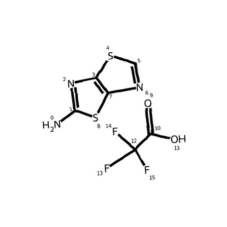 Nc1nc2scnc2s1.O=C(O)C(F)(F)F